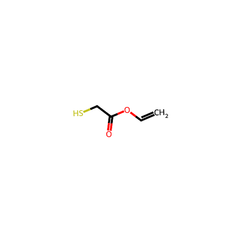 C=COC(=O)CS